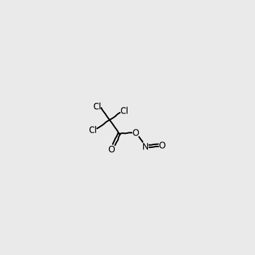 O=NOC(=O)C(Cl)(Cl)Cl